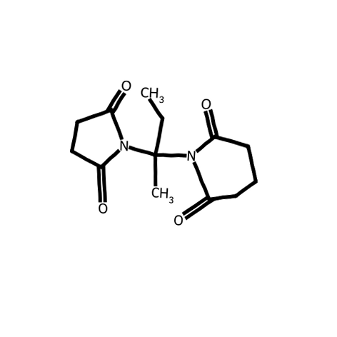 CCC(C)(N1C(=O)CCCC1=O)N1C(=O)CCC1=O